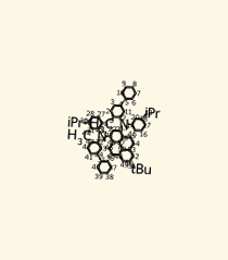 Cc1ccc(-c2ccccc2)cc1N(c1cccc(C(C)C)c1)c1cc(N(c2cccc(C(C)C)c2)c2cc(-c3ccccc3)ccc2C)c2ccc3cc(C(C)(C)C)cc4ccc1c2c43